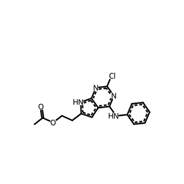 CC(=O)OCCc1cc2c(Nc3ccccc3)nc(Cl)nc2[nH]1